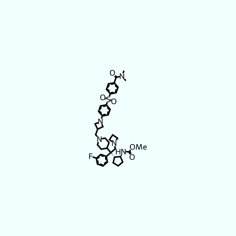 COC(=O)N[C@H]1CCC[C@@H]1C(CN1CCC1)(c1cccc(F)c1)C1CCN(CC2CN(c3ccc(S(=O)(=O)c4ccc(C(=O)N(C)C)cc4)cc3)C2)CC1